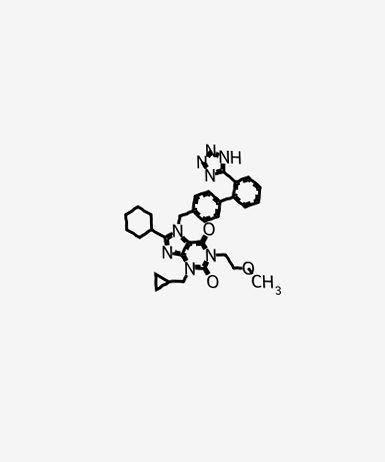 COCCn1c(=O)c2c(nc(C3CCCCC3)n2Cc2ccc(-c3ccccc3-c3nnn[nH]3)cc2)n(CC2CC2)c1=O